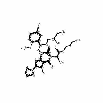 CCCCOC(=O)C(C)n1c(=O)c2c(C)c(-n3nccn3)sc2n(C[C@H](OCC(O)CO)c2cc(F)ccc2OC)c1=O